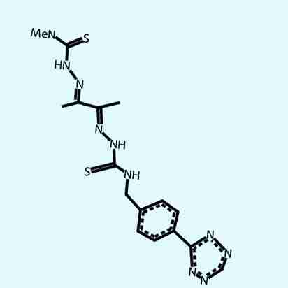 CNC(=S)N/N=C(C)/C(C)=N/NC(=S)NCc1ccc(-c2nncnn2)cc1